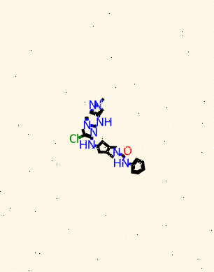 C=N/C(=N\C(NC1CC2CN(C(=O)Nc3ccccc3)CC2C1)=C(/C)Cl)Nc1cnn(C)c1